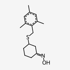 Cc1cc(C)c(CSC2CCCC(=NO)C2)c(C)c1